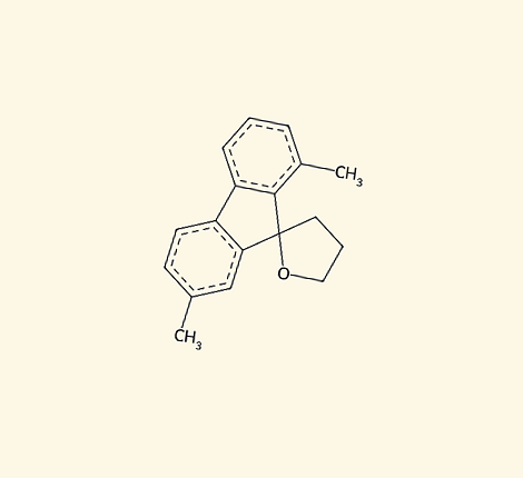 Cc1ccc2c(c1)C1(CCCO1)c1c(C)cccc1-2